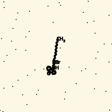 Br.CCCCCCCCCCCCCCCCCCNOc1ccccc1C(=O)c1ccccc1